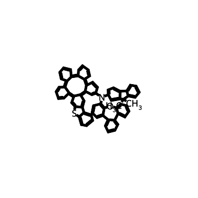 CC1(C)c2ccccc2-c2ccc(N(c3ccc4c5ccccc5c5ccccc5c5ccccc5c5cc6sc7ccccc7c6cc5c4c3)c3cccc4c3Oc3ccccc3-c3ccccc3-4)cc21